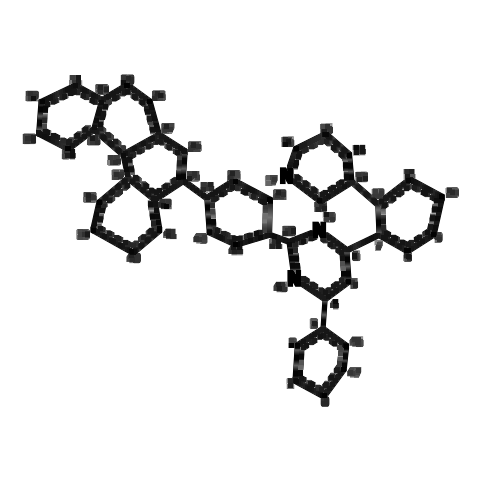 c1ccc(-c2cc(-c3ccccc3-c3cccnc3)nc(-c3ccc(-c4cc5ccc6ccccc6c5c5ccccc45)cc3)n2)cc1